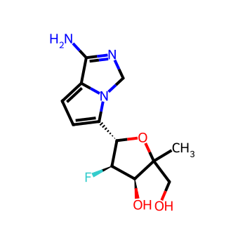 CC1(CO)O[C@@H](c2ccc3n2CN=C3N)[C@H](F)[C@@H]1O